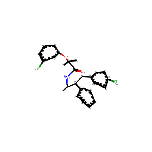 CC(NC(=O)C(C)(C)Oc1cccc(F)c1)C(Cc1ccc(Cl)cc1)c1ccccc1